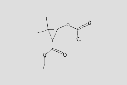 COC(=O)C1C(OC(=O)Cl)C1(C)C